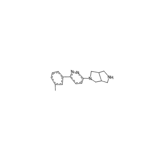 Cc1cccc(-c2ccc(N3CC4CNCC4C3)nn2)c1